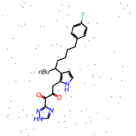 CCCCC(CCCCc1ccc(F)cc1)c1cc[nH]c1CC(=O)C(=O)c1nc[nH]n1